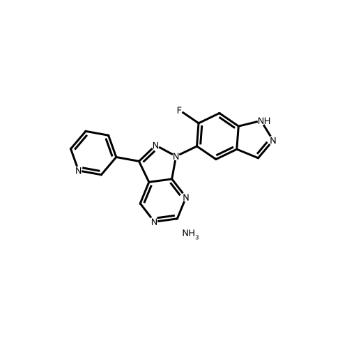 Fc1cc2[nH]ncc2cc1-n1nc(-c2cccnc2)c2cncnc21.N